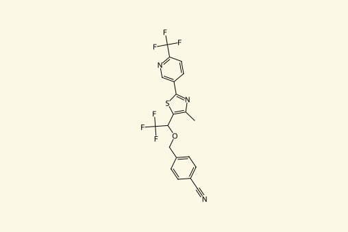 Cc1nc(-c2ccc(C(F)(F)F)nc2)sc1C(OCc1ccc(C#N)cc1)C(F)(F)F